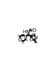 Cc1nnc(C(NN=O)N2CCOCC2)o1